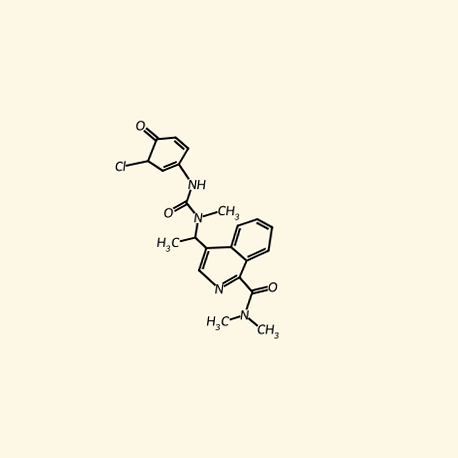 CC(c1cnc(C(=O)N(C)C)c2ccccc12)N(C)C(=O)NC1=CC(Cl)C(=O)C=C1